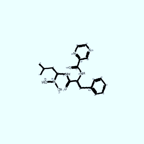 CC(C)CC(NC(=O)C(Cc1ccccc1)NC(=O)c1cnccn1)N(O)O